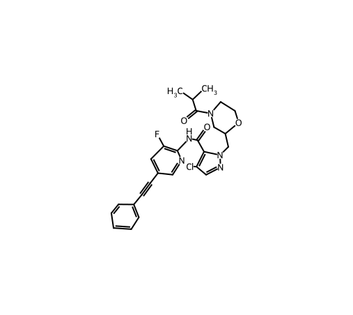 CC(C)C(=O)N1CCOC(Cn2ncc(Cl)c2C(=O)Nc2ncc(C#Cc3ccccc3)cc2F)C1